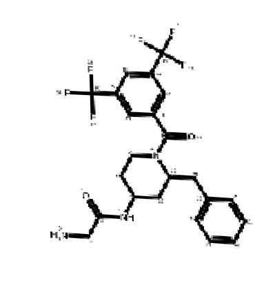 NCC(=O)NC1CCN(C(=O)c2cc(C(F)(F)F)cc(C(F)(F)F)c2)C(Cc2ccccc2)C1